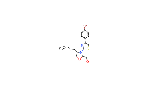 CCCCC1COC(C=O)N1c1nc(-c2ccc(Br)cc2)cs1